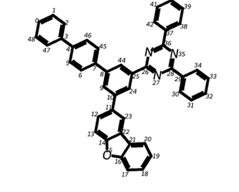 c1ccc(-c2ccc(-c3cc(-c4ccc5oc6ccccc6c5c4)cc(-c4nc(-c5ccccc5)nc(-c5ccccc5)n4)c3)cc2)cc1